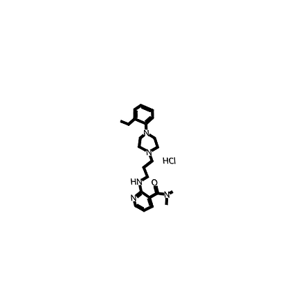 CCc1ccccc1N1CCN(CCCNc2ncccc2C(=O)N(C)C)CC1.Cl